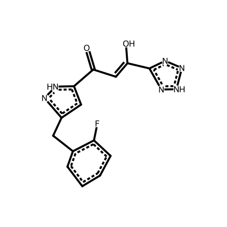 O=C(C=C(O)c1nn[nH]n1)c1cc(Cc2ccccc2F)n[nH]1